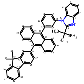 BC(B)(B)c1nc2ccccc2n1-c1cccc(-c2c3ccccc3c(-c3ccc4c(c3)C(C)(C)c3ccccc3-4)c3ccccc23)c1